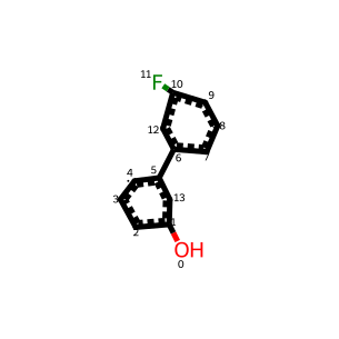 Oc1cc[c]c(-c2cccc(F)c2)c1